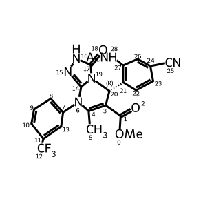 COC(=O)C1=C(C)N(c2cccc(C(F)(F)F)c2)c2n[nH]c(=O)n2[C@@H]1c1ccc(C#N)cc1NC(C)=O